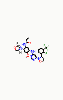 C=CC(=O)Nc1cc(Nc2cc(N3OCCC3c3cccc(C(F)(F)F)c3F)ncn2)c(OC)cc1N1C[C@H]2C[C@@H]1CO2